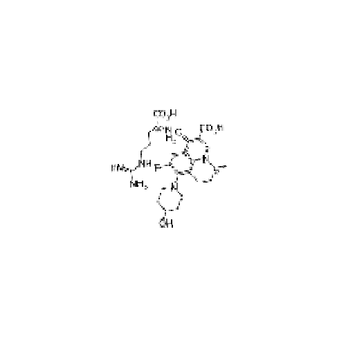 C[C@H]1CCc2c(N3CCC(O)CC3)c(F)cc3c(=O)c(C(=O)O)cn1c23.N=C(N)NCCC[C@@H](N)C(=O)O